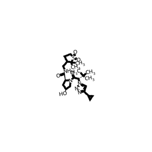 CC(C)(C)[C@@H](C(=O)N1C[C@H](O)C[C@H]1C(=O)NCC1CCS(=O)(=O)C1(C)C)n1cc(C2CC2)nn1